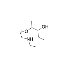 CCC(O)C(C)O.CCNCC